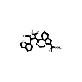 NC(=O)C1Cc2cccc3c2N1C=CN=C3C1=C(c2cccc3ccoc23)C(=O)NC1=O